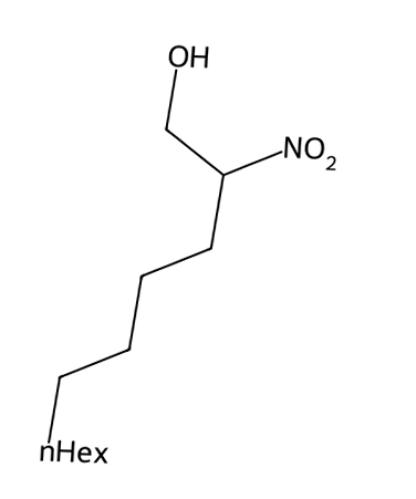 CCCCCCCCCCC(CO)[N+](=O)[O-]